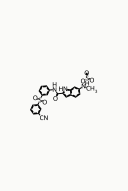 CN(O[SH](=O)=O)c1ccc2cc(C(=O)Nc3cccc(S(=O)(=O)c4cccc(C#N)c4)c3)[nH]c2c1